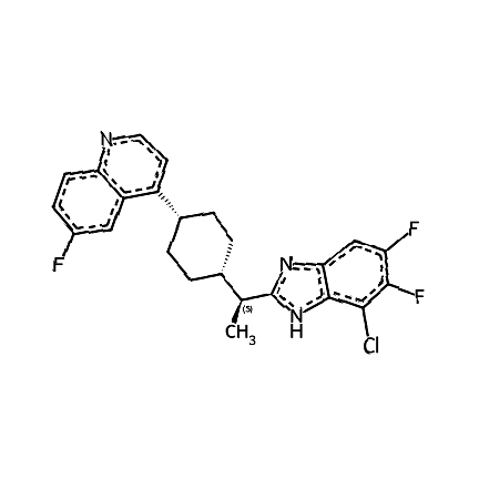 C[C@H](c1nc2cc(F)c(F)c(Cl)c2[nH]1)[C@H]1CC[C@@H](c2ccnc3ccc(F)cc32)CC1